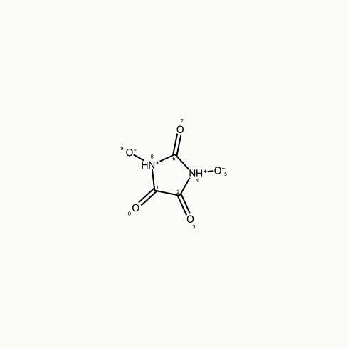 O=C1C(=O)[NH+]([O-])C(=O)[NH+]1[O-]